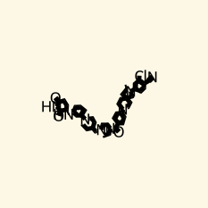 C[C@@H]1CC2(CCN(c3ccc(C(=O)N4CCN(CC5CCN(c6cccc(N[C@@H]7CCC(=O)NC7=O)c6)CC5)CC4)cc3)CC2)CN1c1ccc(C#N)c(Cl)c1